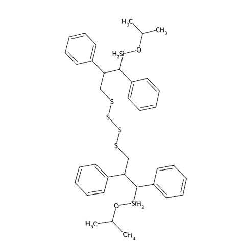 CC(C)O[SiH2]C(c1ccccc1)C(CSSSSCC(c1ccccc1)C([SiH2]OC(C)C)c1ccccc1)c1ccccc1